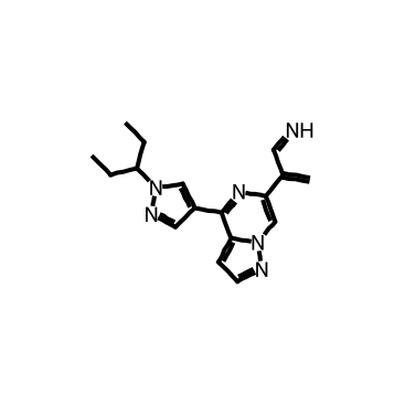 C=C(C=N)c1cn2nccc2c(-c2cnn(C(CC)CC)c2)n1